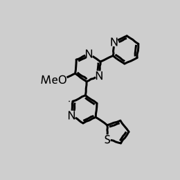 COc1cnc(-c2ccccn2)nc1-c1[c]ncc(-c2cccs2)c1